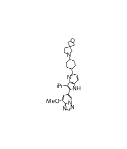 COc1cc(-c2[nH]c3ccc(C4CCC(N5CCC6(COC6)C5)CC4)nc3c2C(C)C)cn2ncnc12